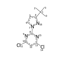 CC(C)(C)c1ccn(-c2nc(Cl)cc(Cl)n2)n1